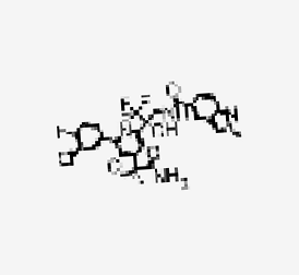 Cn1cc2cc(C(=O)NCC(O)(c3cc4c(c(-c5ccc(F)c(Cl)c5)n3)OC[C@]4(C)C(N)=O)C(F)(F)F)ccc2n1